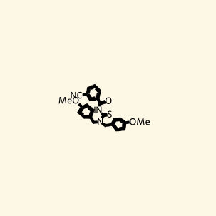 COc1ccc(CN(Cc2ccc(OC)cc2)C(=S)NC(=O)c2cccc(C#N)c2)cc1